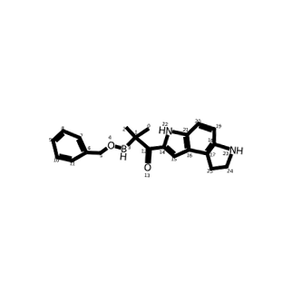 CC(C)(BOCc1ccccc1)C(=O)c1cc2c3c(ccc2[nH]1)NCC3